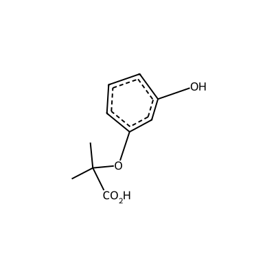 CC(C)(Oc1cccc(O)c1)C(=O)O